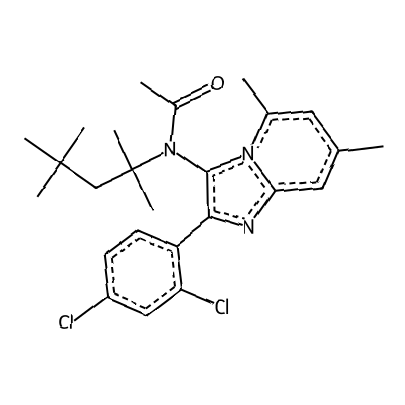 CC(=O)N(c1c(-c2ccc(Cl)cc2Cl)nc2cc(C)cc(C)n12)C(C)(C)CC(C)(C)C